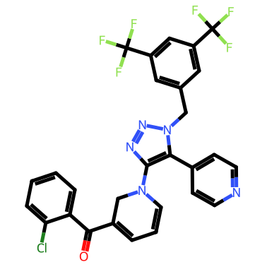 O=C(C1=CC=CN(c2nnn(Cc3cc(C(F)(F)F)cc(C(F)(F)F)c3)c2-c2ccncc2)C1)c1ccccc1Cl